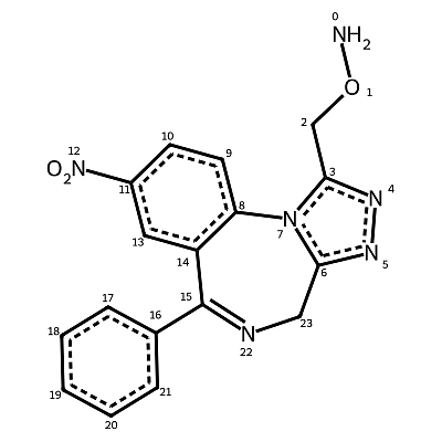 NOCc1nnc2n1-c1ccc([N+](=O)[O-])cc1C(c1ccccc1)=NC2